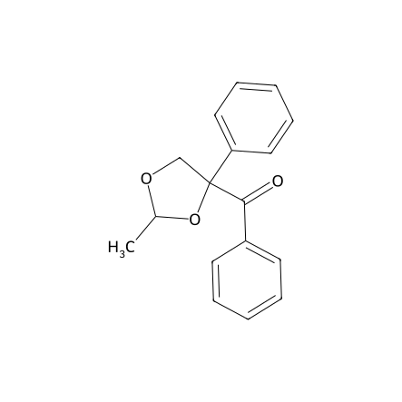 CC1OCC(C(=O)c2ccccc2)(c2ccccc2)O1